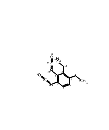 CCc1ccc(N=C=O)c(N=C=O)c1CC